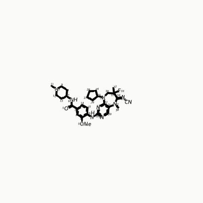 COc1cc(C(=O)NC2CCN(C)CC2)ccc1Nc1ncc2c(n1)N(C1CCCC1)CC(C)(F)C(=NC#N)N2C